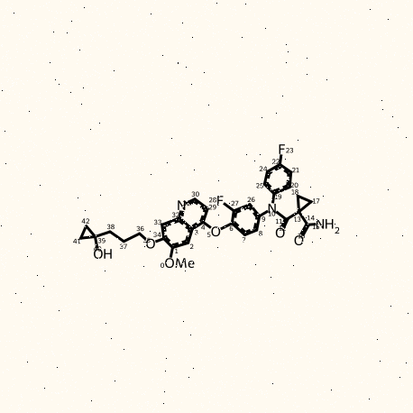 COc1cc2c(Oc3ccc(N(C(=O)C4(C(N)=O)CC4)c4ccc(F)cc4)cc3F)ccnc2cc1OCCCC1(O)CC1